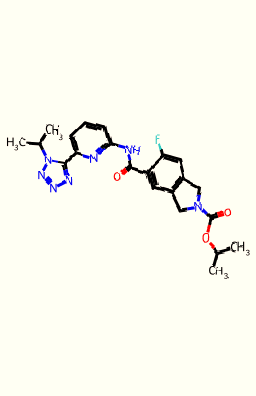 CC(C)OC(=O)N1Cc2cc(F)c(C(=O)Nc3cccc(-c4nnnn4C(C)C)n3)cc2C1